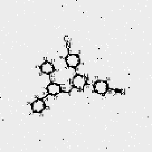 [C-]#[N+]c1ccc(-c2nc(Cc3cc(-c4ccccc4)cc(-c4ccccc4)c3)nc(-c3ccc(C#N)cc3)n2)cc1